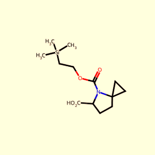 C[Si](C)(C)CCOC(=O)N1C(C(=O)O)CCC12CC2